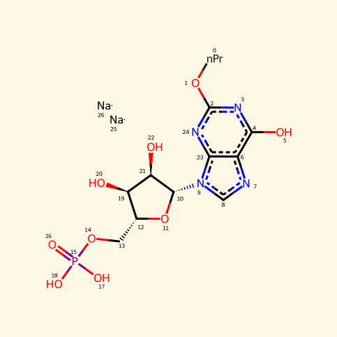 CCCOc1nc(O)c2ncn([C@@H]3O[C@H](COP(=O)(O)O)[C@@H](O)[C@H]3O)c2n1.[Na].[Na]